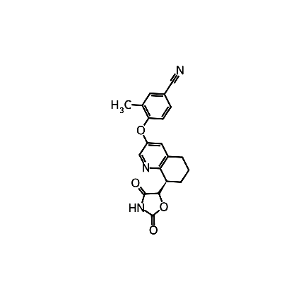 Cc1cc(C#N)ccc1Oc1cnc2c(c1)CCC[C@H]2C1OC(=O)NC1=O